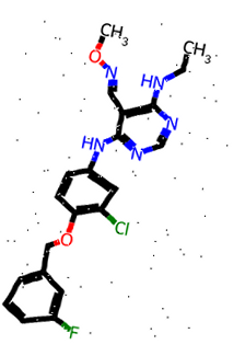 CCNc1ncnc(Nc2ccc(OCc3cccc(F)c3)c(Cl)c2)c1C=NOC